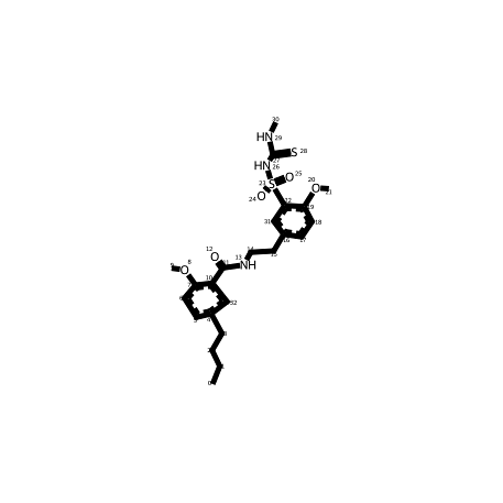 CCCCc1ccc(OC)c(C(=O)NCCc2ccc(OC)c(S(=O)(=O)NC(=S)NC)c2)c1